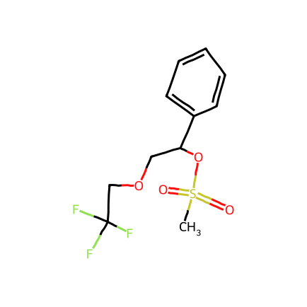 CS(=O)(=O)OC(COCC(F)(F)F)c1ccccc1